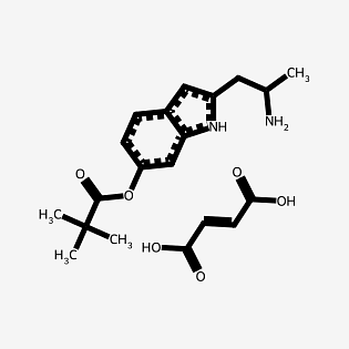 CC(N)Cc1cc2ccc(OC(=O)C(C)(C)C)cc2[nH]1.O=C(O)/C=C/C(=O)O